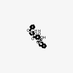 O=C(c1ccccc1)N1CCN(C(=O)c2cc(S(=O)(=O)N3CCc4ccccc4C3)c(O)c(O)c2O)CC1